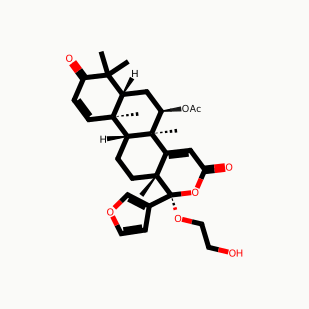 CC(=O)O[C@@H]1C[C@H]2C(C)(C)C(=O)C=C[C@]2(C)[C@H]2CC[C@]3(C)C(=CC(=O)O[C@@]3(OCCO)c3ccoc3)[C@@]21C